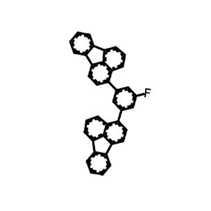 Fc1cc(-c2ccc3c4c(cccc24)-c2ccccc2-3)cc(-c2ccc3c4c(cccc24)-c2ccccc2-3)c1